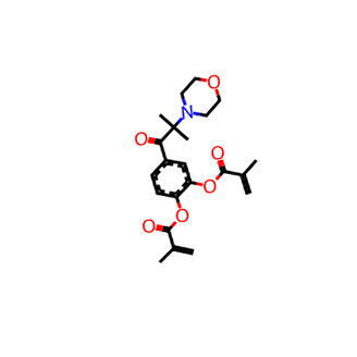 C=C(C)C(=O)Oc1ccc(C(=O)C(C)(C)N2CCOCC2)cc1OC(=O)C(=C)C